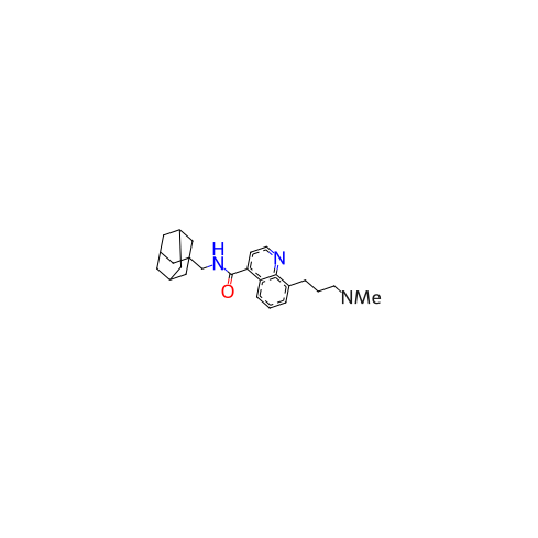 CNCCCc1cccc2c(C(=O)NCC34CC5CC(CC(C5)C3)C4)ccnc12